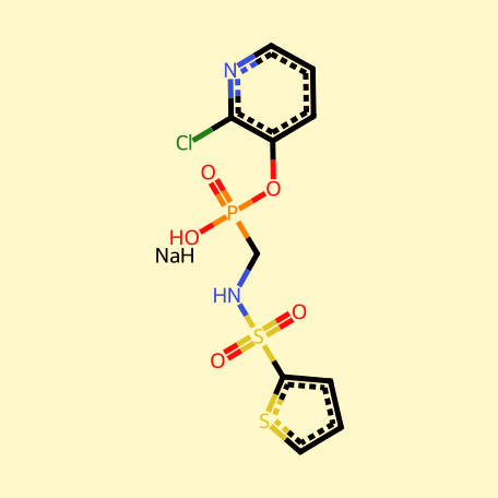 O=P(O)(CNS(=O)(=O)c1cccs1)Oc1cccnc1Cl.[NaH]